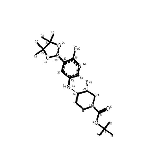 CC(C)(C)OC(=O)N1CC[C@H](Nc2cnc(F)c(B3OC(C)(C)C(C)(C)O3)c2)[C@H](F)C1